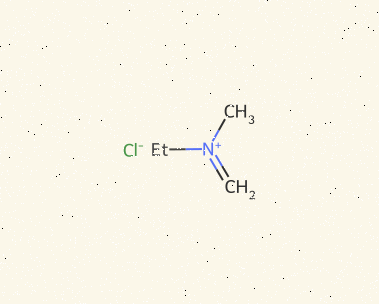 C=[N+](C)CC.[Cl-]